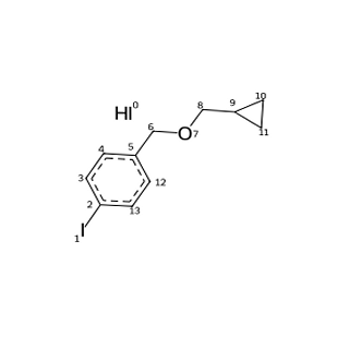 I.Ic1ccc(COCC2CC2)cc1